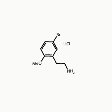 COc1ccc(Br)cc1CCN.Cl